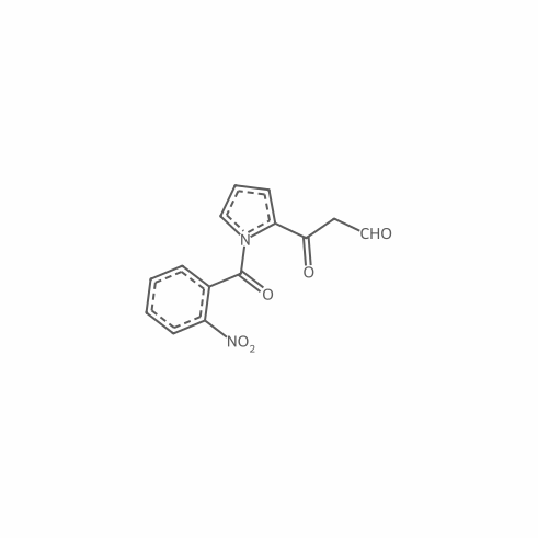 O=CCC(=O)c1cccn1C(=O)c1ccccc1[N+](=O)[O-]